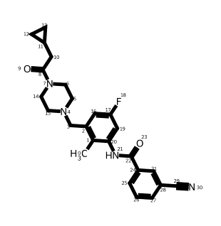 Cc1c(CN2CCN(C(=O)CC3CC3)CC2)cc(F)cc1NC(=O)c1cccc(C#N)c1